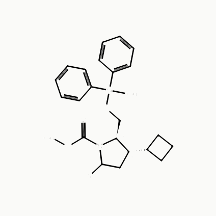 CC(C)(C)OC(=O)N1C(O)C[C@@H](C2CCC2)[C@@H]1CO[Si](c1ccccc1)(c1ccccc1)C(C)(C)C